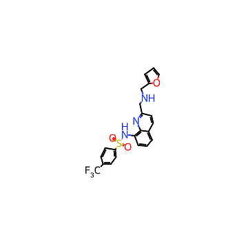 O=S(=O)(Nc1cccc2ccc(CNCc3ccco3)nc12)c1ccc(C(F)(F)F)cc1